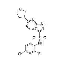 O=S(=O)(Nc1ccc(Cl)cc1F)c1c[nH]c2nc(C3CCOC3)ccc12